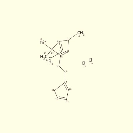 CC1=C2C(C)C1=C(CCC1=CC=CC1)[C]2(C)[Ti+2].[Cl-].[Cl-]